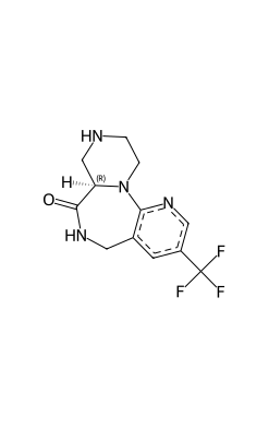 O=C1NCc2cc(C(F)(F)F)cnc2N2CCNC[C@H]12